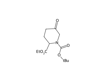 CCOC(=O)C1CCC(=O)CN1C(=O)OC(C)(C)C